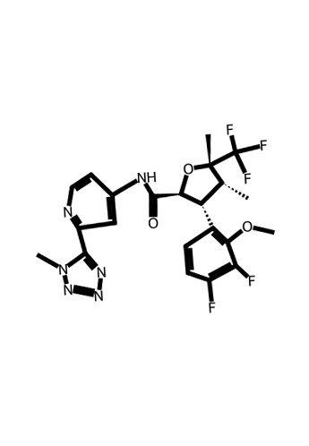 COc1c([C@@H]2[C@@H](C(=O)Nc3ccnc(-c4nnnn4C)c3)O[C@](C)(C(F)(F)F)[C@@H]2C)ccc(F)c1F